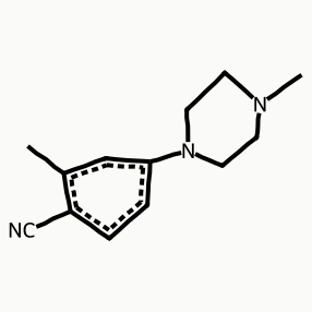 Cc1cc(N2CCN(C)CC2)ccc1C#N